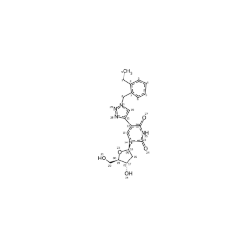 CCc1ccccc1Cn1cc(-c2cn([C@H]3C[C@H](O)[C@@H](CO)O3)c(=O)[nH]c2=O)nn1